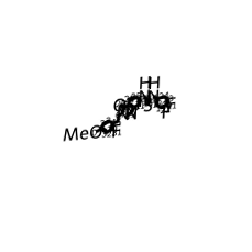 COc1ccc(CCn2cnc3cc(NC(=S)NC4CCC(F)(F)CC4)ccc3c2=O)c(F)c1